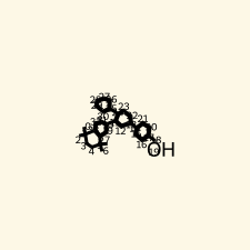 CC1(C)CCC(C)(C)c2cc(-c3cc(-c4ccc(CO)cc4)ccc3-c3ccccc3)ccc21